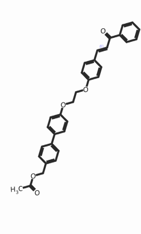 CC(=O)OCc1ccc(-c2ccc(OCCOc3ccc(/C=C/C(=O)c4ccccc4)cc3)cc2)cc1